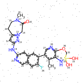 Cc1c(-c2cc3cc(Nc4cc5n(n4)CC(=O)N(C)CC5)ncc3cc2F)cnc2c1NS(O)(O)CO2